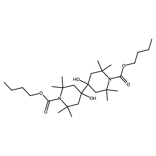 CCCCOC(=O)N1C(C)(C)CC(O)(C2(O)CC(C)(C)N(C(=O)OCCCC)C(C)(C)C2)CC1(C)C